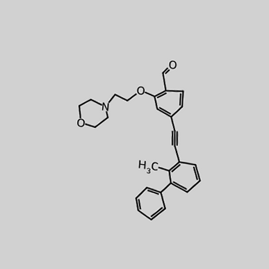 Cc1c(C#Cc2ccc(C=O)c(OCCN3CCOCC3)c2)cccc1-c1ccccc1